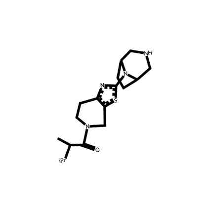 CC(C)C(C)C(=O)N1CCc2nc(N3C4CCC3CNC4)sc2C1